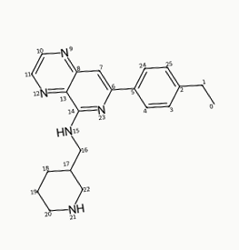 CCc1ccc(-c2cc3nccnc3c(NCC3CCCNC3)n2)cc1